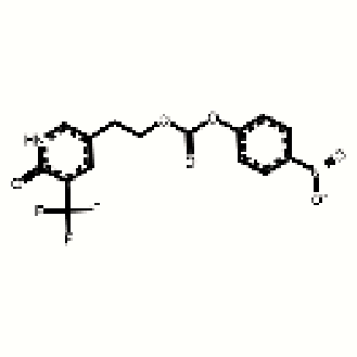 O=C(OCCc1c[nH]c(=O)c(C(F)(F)F)c1)Oc1ccc([N+](=O)[O-])cc1